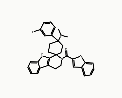 CN(C)C1(c2cccc(F)c2)CCC2(CC1)c1[nH]c3ccccc3c1CCN2C(=O)c1cc2ccccc2s1